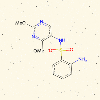 COc1ncc(NS(=O)(=O)c2ccccc2N)c(OC)n1